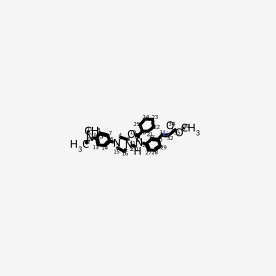 [2H]C(N1CCN(c2ccc(N(C)C)cc2)CC1)N(C(=O)C1CCCCC1)c1cccc(/C=C/C(=O)OC)c1